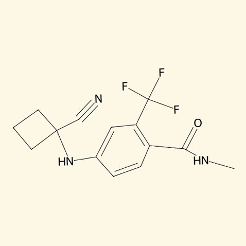 CNC(=O)c1ccc(NC2(C#N)CCC2)cc1C(F)(F)F